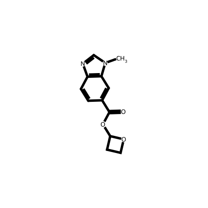 Cn1cnc2ccc(C(=O)OC3CCO3)cc21